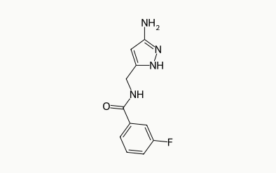 Nc1cc(CNC(=O)c2cccc(F)c2)[nH]n1